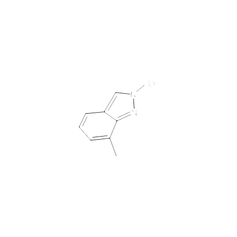 Cc1cccc2cn(C(C)(C)C)nc12